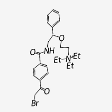 CC[N+](CC)(CC)CCOC(CNC(=O)c1ccc(C(=O)CBr)cc1)c1ccccc1